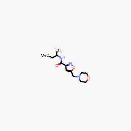 COCC(C)NC(=O)c1cc(CN2CCOCC2)on1